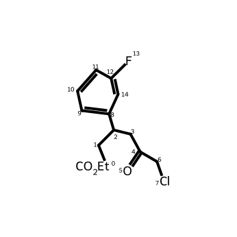 CCOC(=O)CC(CC(=O)CCl)c1cccc(F)c1